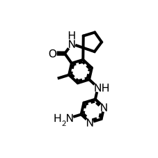 Cc1cc(Nc2cc(N)ncn2)cc2c1C(=O)NC21CCCC1